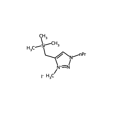 CCCn1cc(C[Si](C)(C)C)[n+](C)n1.[I-]